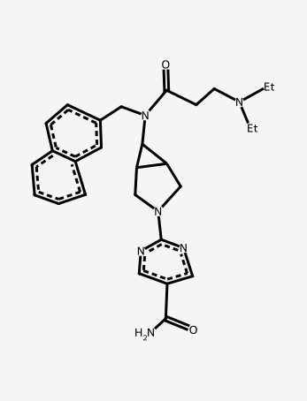 CCN(CC)CCC(=O)N(Cc1ccc2ccccc2c1)C1C2CN(c3ncc(C(N)=O)cn3)CC21